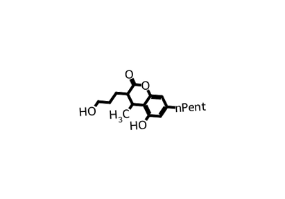 CCCCCc1cc(O)c2c(c1)OC(=O)C(CCCO)C2C